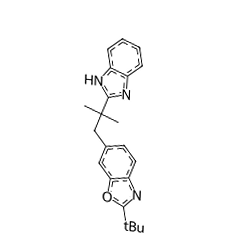 CC(C)(C)c1nc2ccc(CC(C)(C)c3nc4ccccc4[nH]3)cc2o1